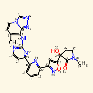 Cc1ccn2cnnc2c1Nc1nccc(-c2cccc(-c3cc([C@]4(O)CCN(C)C4=O)on3)n2)n1